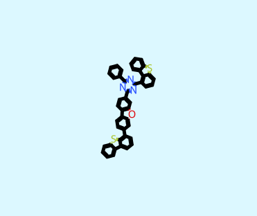 c1ccc(-c2nc(-c3ccc4c(c3)oc3cc(-c5cccc6c5sc5ccccc56)ccc34)nc(-c3cccc4sc5ccccc5c34)n2)cc1